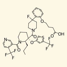 CCC[C@H]1N(C(=O)c2cnccc2C(F)(F)F)CCC[C@@]1(Oc1csc(C(F)(F)F)c1)C(=O)N1CCC(F)(c2ccccc2OCCCC(=O)O)CC1